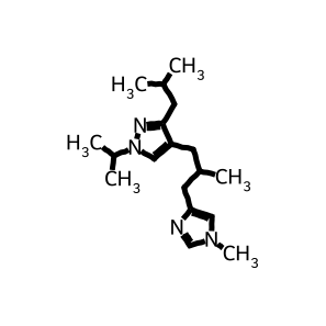 CC(C)Cc1nn(C(C)C)cc1CC(C)Cc1cn(C)cn1